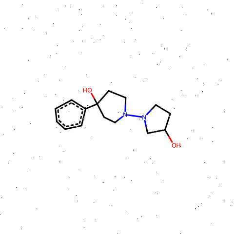 OC1CCN(N2CCC(O)(c3ccccc3)CC2)C1